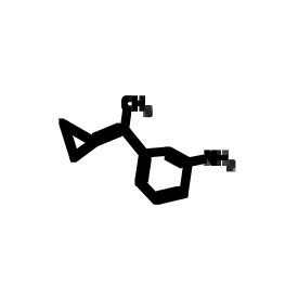 CC(=C1CC1)c1cccc(N)c1